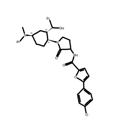 CCC(O)[C@H]1C[C@H](N(C)C(C)C)CC[C@@H]1N1CCC(NC(=O)c2ccc(-c3ccc(Cl)cc3)o2)C1=O